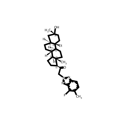 CC[C@]12CC[C@@](C)(O)C[C@@H]1CC[C@H]1[C@@H]3CC[C@H](C(=O)Cn4nc5ccc(C)c(F)c5n4)[C@@]3(C)CC[C@@H]12